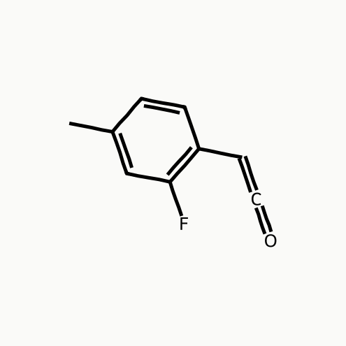 Cc1ccc(C=C=O)c(F)c1